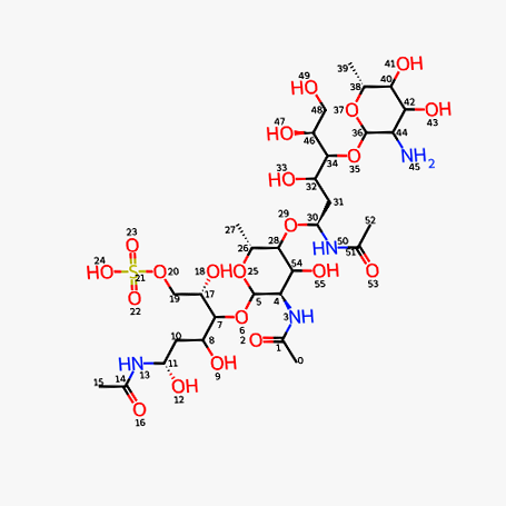 CC(=O)N[C@H]1C(OC(C(O)C[C@H](O)NC(C)=O)[C@@H](O)COS(=O)(=O)O)O[C@H](C)C(O[C@@H](CC(O)C(OC2O[C@H](C)C(O)C(O)C2N)[C@@H](O)CO)NC(C)=O)C1O